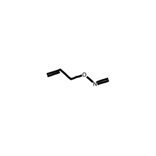 C=CCON=C